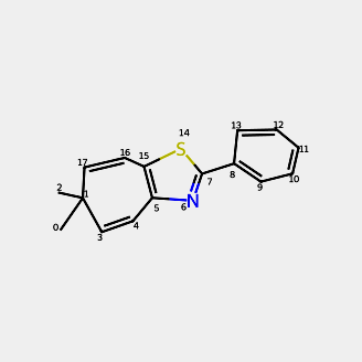 CC1(C)C=Cc2nc(-c3ccccc3)sc2C=C1